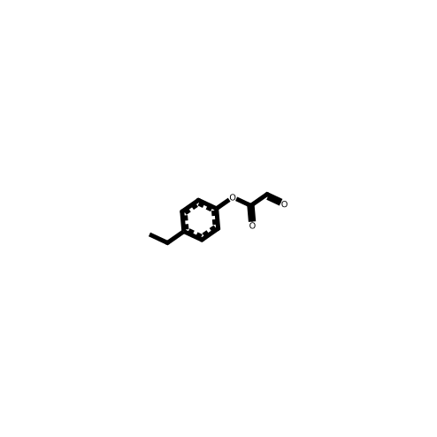 CCc1ccc(OC(=O)C=O)cc1